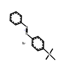 C[N+](C)(C)c1ccc(/N=N/c2ccccc2)cc1.[Br-]